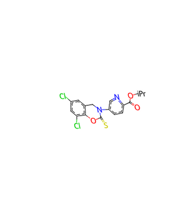 CC(C)OC(=O)c1ccc(N2Cc3cc(Cl)cc(Cl)c3OC2=S)cn1